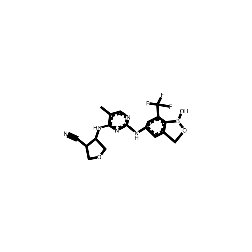 Cc1cnc(Nc2cc3c(c(C(F)(F)F)c2)B(O)OC3)nc1NC1COCC1C#N